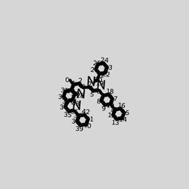 Cc1cc(-c2cc(-c3ccc(-c4ccccc4)cc3)nc(-c3ccccc3)n2)nc2c1ccc1ccc(-c3ccccc3)nc12